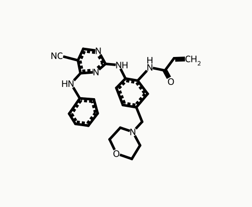 C=CC(=O)Nc1cc(CN2CCOCC2)ccc1Nc1ncc(C#N)c(Nc2ccccc2)n1